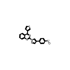 O=[S+]c1ccc(-c2cnn(-c3nc(-c4ccsc4)c4ccccc4n3)c2)cc1